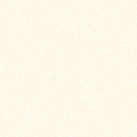 CCCC1=CC=CC1.[Eu]